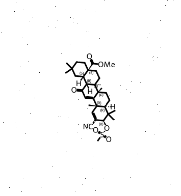 COC(=O)[C@]12CCC(C)(C)C[C@H]1[C@H]1C(=O)C=C3[C@@]4(C)C=C(C#N)[C@H](OS(C)(=O)=O)C(C)(C)[C@@H]4CC[C@@]3(C)[C@]1(C)CC2